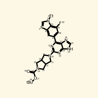 CCn1cnc2cc(-c3nc(N4CC5CN(C(=O)OC(C)(C)C)CC5C4)nc4[nH]cnc34)cc(F)c21